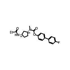 CCC(=O)N[C@H]1CC[C@@H](N(C)C(=O)Oc2ccc(-c3ccc(F)cc3)cc2)C1